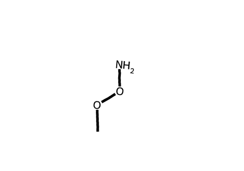 COON